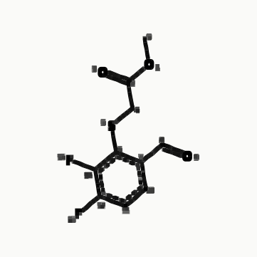 COC(=O)CSc1c(C=O)ccc(F)c1F